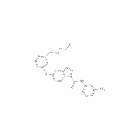 O=C(Nc1cccc(C(F)(F)F)c1)n1ccc2cc(Oc3cc(CNCCF)ncn3)ccc21